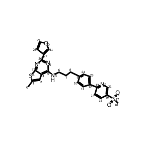 Cc1cc2c(NCCCc3ccc(-c4ccc(S(C)(=O)=O)cn4)cc3)nc(-c3ccoc3)nc2s1